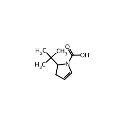 CC(C)(C)C1CC=CN1C(=O)O